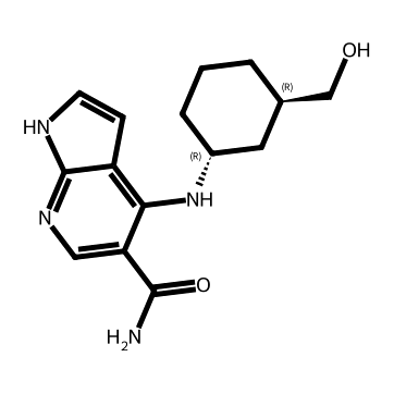 NC(=O)c1cnc2[nH]ccc2c1N[C@@H]1CCC[C@@H](CO)C1